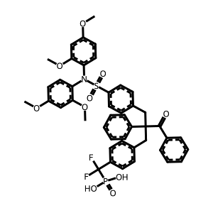 COc1ccc(N(c2ccc(OC)cc2OC)S(=O)(=O)c2ccc(CC(Cc3ccc(C(F)(F)P(=O)(O)O)cc3)(C(=O)c3ccccc3)c3ccccc3)cc2)c(OC)c1